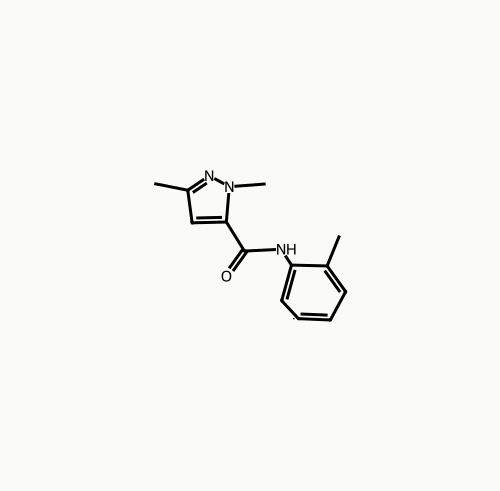 Cc1cc(C(=O)Nc2c[c]ccc2C)n(C)n1